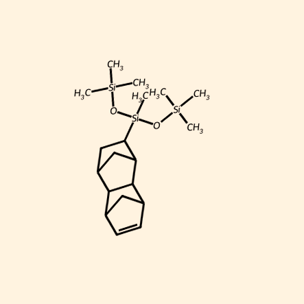 C[Si](C)(C)O[Si](C)(O[Si](C)(C)C)C1CC2CC1C1C3C=CC(C3)C21